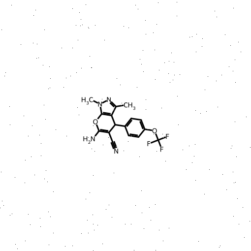 Cc1nn(C)c2c1C(c1ccc(OC(F)(F)F)cc1)C(C#N)=C(N)O2